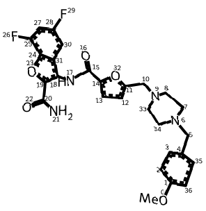 COc1ccc(CN2CCN(Cc3ccc(C(=O)Nc4c(C(N)=O)oc5c(F)cc(F)cc45)o3)CC2)cc1